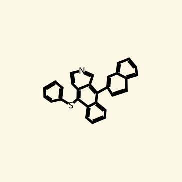 c1ccc(Sc2c3ccccc3c(-c3ccc4ccccc4c3)c3cnccc23)cc1